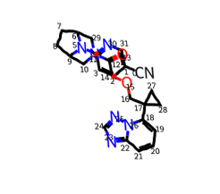 N#Cc1ccc(N2C3CCC2CN(C(=O)COCC2(c4cccc5ncnn45)CC2)C3)nc1